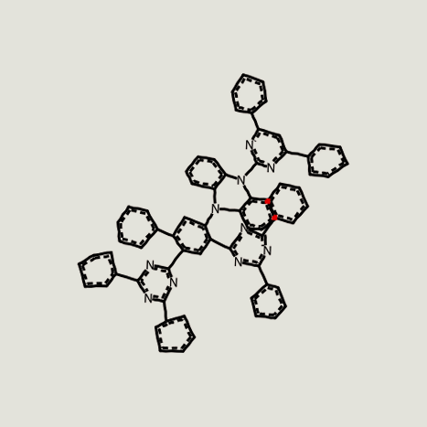 c1ccc(-c2cc(-c3ccccc3)nc(N3c4ccccc4N(c4cc(-c5ccccc5)c(-c5nc(-c6ccccc6)nc(-c6ccccc6)n5)cc4-c4nc(-c5ccccc5)nc(-c5ccccc5)n4)c4ccccc43)n2)cc1